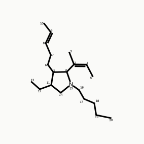 C/C=C(/C)C1C(CC/C=C/C)C(CC)CN1CCCCC